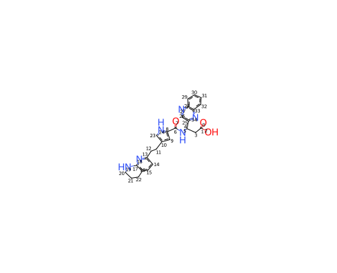 O=C(O)CC(NC(=O)c1cc(CCc2ccc3c(n2)NCCC3)c[nH]1)c1cnc2ccccc2n1